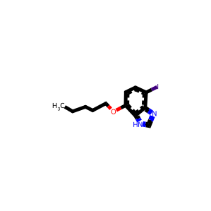 CCCCCOc1ccc(I)c2nc[nH]c12